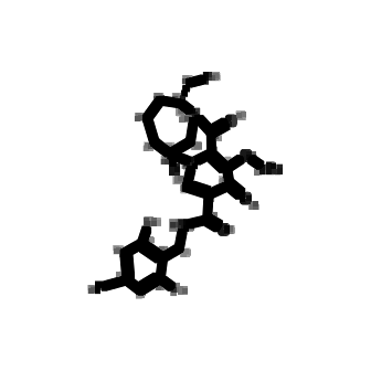 CCCCOc1c2n(cc(C(=O)NCc3c(F)cc(F)cc3F)c1=O)[C@H]1CCC[C@H](CF)N(C1)C2=O